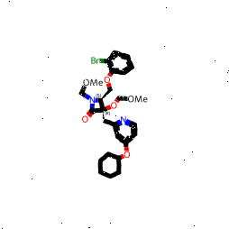 COCO[C@@]1(Cc2cc(OC3CCCCC3)ccn2)C(=O)N(COC)[C@H]1COc1ccccc1Br